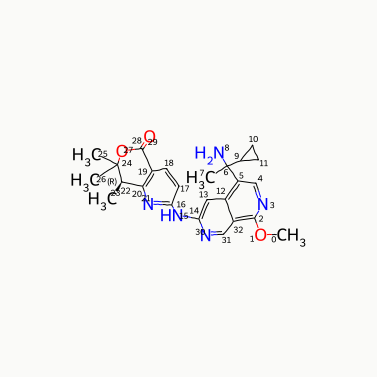 COc1ncc(C(C)(N)C2CC2)c2cc(Nc3ccc4c(n3)[C@@H](C)C(C)(C)OC4=O)ncc12